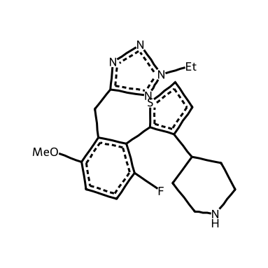 CCn1nnc(Cc2c(OC)ccc(F)c2-c2sccc2C2CCNCC2)n1